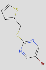 Brc1cnc(SCc2cccs2)nc1